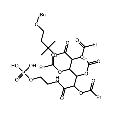 CCC(=O)OC(C(=O)NCCOP(=O)(O)O)C(OC(=O)CC)C(OC(=O)CC)C(OC(=O)CC)C(=O)OC(C)(C)CCOC(C)(C)C